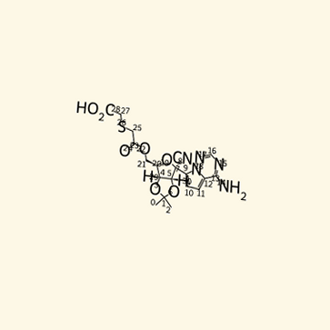 CC1(C)O[C@H]2[C@@H](O1)[C@](C#N)(c1ccc3c(N)ncnn13)O[C@@H]2COC(=O)CSCC(=O)O